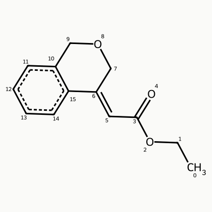 CCOC(=O)C=C1COCc2ccccc21